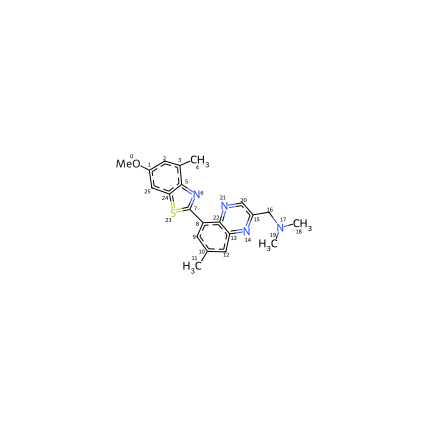 COc1cc(C)c2nc(-c3cc(C)cc4nc(CN(C)C)cnc34)sc2c1